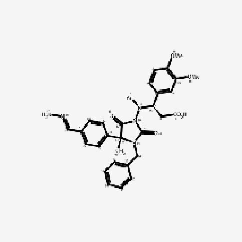 COc1ccc([C@@H](CC(=O)O)N(C(C)=O)N2C(=O)N(Cc3ccccc3)[C@](C)(c3ccc(C=NN)cc3)C2=O)cc1OC